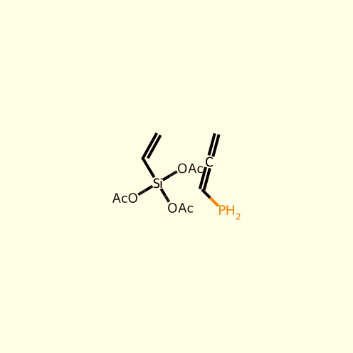 C=C=CP.C=C[Si](OC(C)=O)(OC(C)=O)OC(C)=O